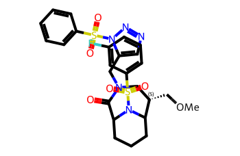 COC[C@H]1CN(Cc2cnnn2S(=O)(=O)c2ccccc2)C(=O)C2CCCC1N2S(=O)(=O)c1cccc(F)c1